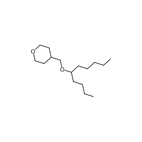 CCCCCC(CCCC)OCC1CCOCC1